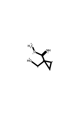 COC(=N)C1(CO)CC1